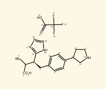 CC(C)(C)C(C(=O)O)[C@H](Cc1ccc(C2CCNC2)cc1)c1nnn[nH]1.O=C(O)C(F)(F)F